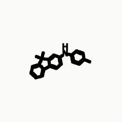 CC1=C=C=C(Nc2ccc3c(c2)C(C)(C)c2ccccc2-3)C=C1